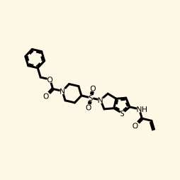 C=CC(=O)Nc1cc2c(s1)CN(S(=O)(=O)C1CCN(C(=O)OCc3ccccc3)CC1)C2